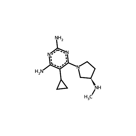 CN[C@@H]1CCN(c2nc(N)nc(N)c2C2CC2)C1